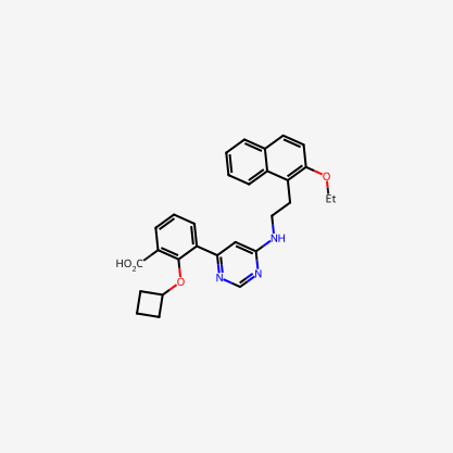 CCOc1ccc2ccccc2c1CCNc1cc(-c2cccc(C(=O)O)c2OC2CCC2)ncn1